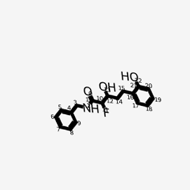 O=C(NCc1ccccc1)C(F)C(O)CCc1ccccc1O